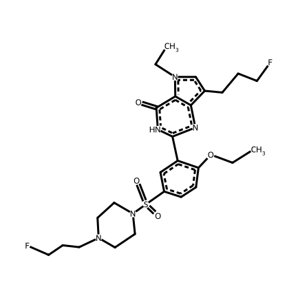 CCOc1ccc(S(=O)(=O)N2CCN(CCCF)CC2)cc1-c1nc2c(CCCF)cn(CC)c2c(=O)[nH]1